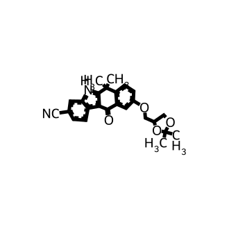 CC1(C)OCC(COc2ccc3c(c2)C(=O)c2c([nH]c4cc(C#N)ccc24)C3(C)C)O1